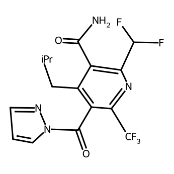 CC(C)Cc1c(C(N)=O)c(C(F)F)nc(C(F)(F)F)c1C(=O)n1cccn1